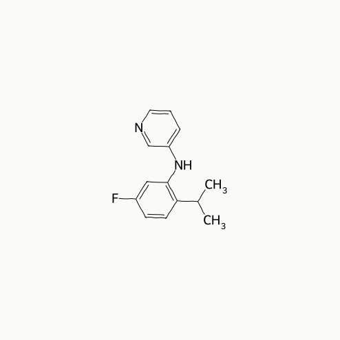 CC(C)c1ccc(F)cc1Nc1cccnc1